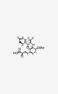 COC1CC=C(/C=C/C(=O)NO)C(OCC2=CC=[PH](C)C=C2)=C1CC=C(C)C